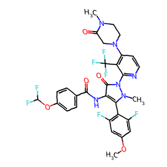 COc1cc(F)c(-c2c(NC(=O)c3ccc(OC(F)F)cc3)c(=O)n(-c3nccc(N4CCN(C)C(=O)C4)c3C(F)(F)F)n2C)c(F)c1